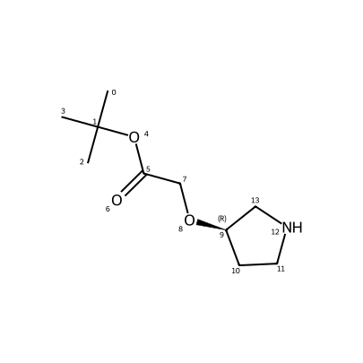 CC(C)(C)OC(=O)CO[C@@H]1CCNC1